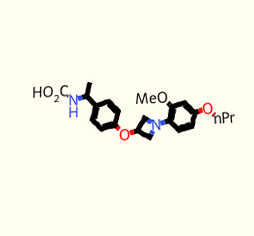 CCCOc1ccc(N2CC(Oc3ccc(C(C)NC(=O)O)cc3)C2)c(OC)c1